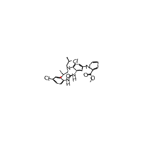 COC(=O)c1cccn1-c1cc(Cl)c(N(CC(C)C)CC(C)C)c(NC(=O)Nc2ccc(Cl)cc2)c1